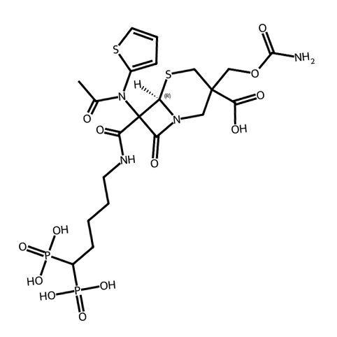 CC(=O)N(c1cccs1)C1(C(=O)NCCCCC(P(=O)(O)O)P(=O)(O)O)C(=O)N2CC(COC(N)=O)(C(=O)O)CS[C@@H]21